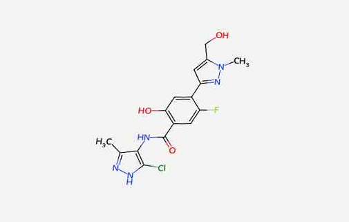 Cc1n[nH]c(Cl)c1NC(=O)c1cc(F)c(-c2cc(CO)n(C)n2)cc1O